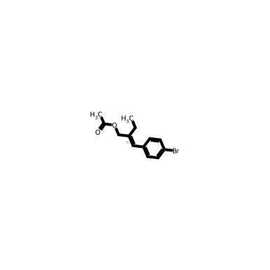 CC/C(=C\c1ccc(Br)cc1)COC(C)=O